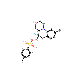 Bc1ccc2c(c1)N1CCOCC1C(F)(COS(=O)(=O)c1ccc(C)cc1)C2